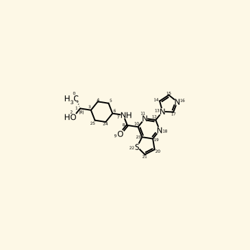 C[C@@H](O)C1CCC(NC(=O)c2nc(-n3ccnc3)nc3ccsc23)CC1